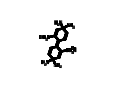 NC1(N)C=CC(=C2C=CC(N)(N)C=C2S(=O)(=O)O)C(S(=O)(=O)O)=C1.[Ce]